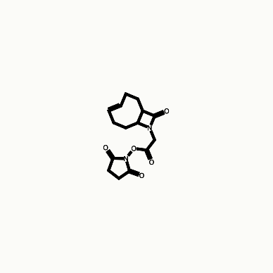 O=C(CN1C(=O)C2CC/C=C/CCC21)ON1C(=O)CCC1=O